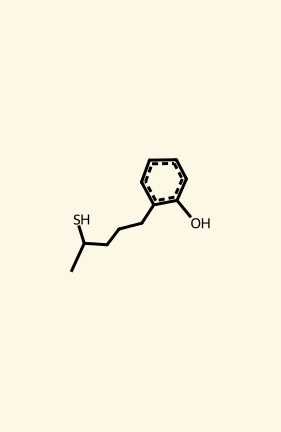 CC(S)CCCc1ccccc1O